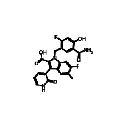 Cc1cc2c(-c3ccc[nH]c3=O)c(C(=O)O)n(Cc3cc(C(N)=O)c(O)cc3F)c2cc1F